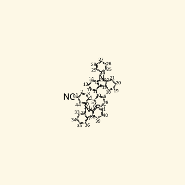 N#Cc1ccc(-c2ccccc2-c2cccc3c2c2ccccc2n3-c2ccccc2)c(-n2c3ccccc3c3ccccc32)c1